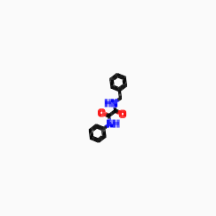 O=C(NCc1ccccc1)C(=O)Nc1ccccc1